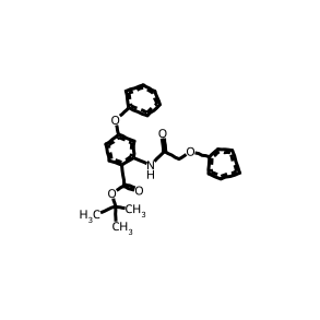 CC(C)(C)OC(=O)c1ccc(Oc2ccccc2)cc1NC(=O)COc1ccccc1